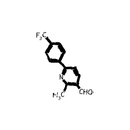 Cc1nc(-c2ccc(C(F)(F)F)cc2)ccc1[C]=O